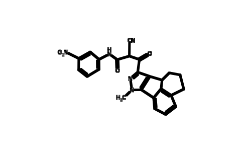 Cn1nc(C(=O)C(C#N)C(=O)Nc2cccc([N+](=O)[O-])c2)c2c1-c1cccc3c1C2CCC3